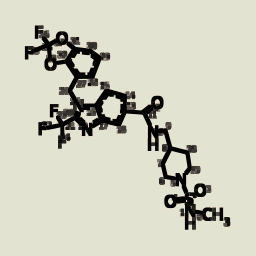 CNS(=O)(=O)N1CCC(CNC(=O)c2ccc3c(c2)nc(C(F)(F)F)n3Cc2cccc3c2OC(F)(F)O3)CC1